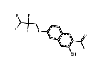 CC(=O)c1nc2ccc(OCC(F)(F)C(F)F)cc2cc1O